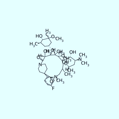 CO[C@]1(C)C[C@H](O[C@H]2[C@H](C)[C@@H](O[C@@H]3O[C@H](C)C[C@H](N(C)C)[C@H]3O)[C@](C)(O)C[C@@H](C)CN(C)C(=O)C3(c4ccc(F)cc4)CCN(CC3)C(=O)[C@@H]2C)C[C@@H](C)[C@@H]1O